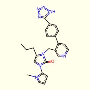 CCCc1cn(-c2cccn2C)c(=O)n1Cc1cnccc1-c1ccc(-c2nnn[nH]2)cc1